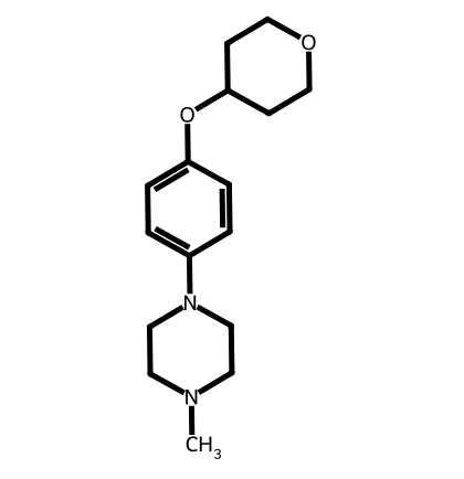 CN1CCN(c2ccc(OC3CCOCC3)cc2)CC1